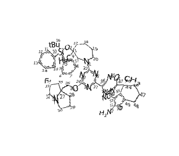 CC1(O[Si](c2ccccc2)(c2ccccc2)C(C)(C)C)CCCCN(c2nc(OC[C@@]34CCCN3C[C@H](F)C4)nc(/C(N)=N/OC(=O)[C@@]3(C)CCCc4sc(N)c(C#N)c43)n2)C1